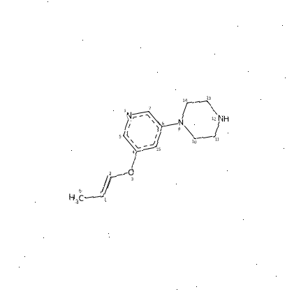 CC=COc1cncc(N2CCNCC2)c1